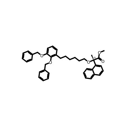 COC(=O)[C@@](C)(OCCCCCCc1cccc(OCc2ccccc2)c1OCc1ccccc1)c1cccc2ccccc12